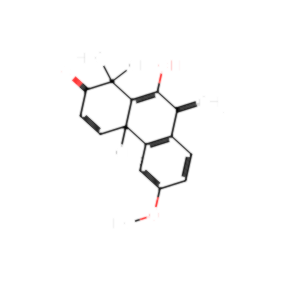 C=C1C(O)=C2C(C)(C)C(=O)C=CC2(C)c2cc(OC)ccc21